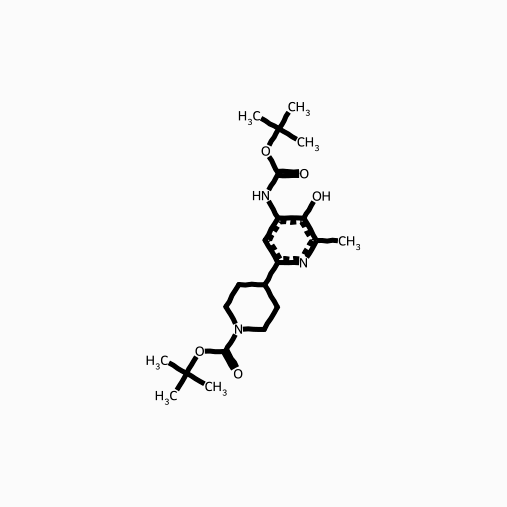 Cc1nc(C2CCN(C(=O)OC(C)(C)C)CC2)cc(NC(=O)OC(C)(C)C)c1O